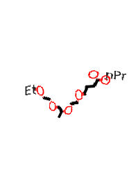 CCCOC(=O)CCCOCCOC(C)COCCOCC